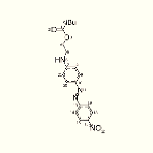 CCC(C)C(=O)OCCNc1ccc(N=Nc2ccc([N+](=O)[O-])cc2)cc1